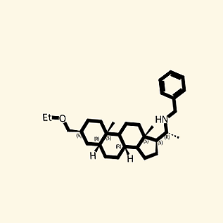 CCOC[C@H]1CC[C@]2(C)C3CC[C@@]4(C)C(CC[C@@H]4[C@@H](C)NCc4ccccc4)[C@@H]3CC[C@@H]2C1